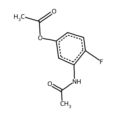 CC(=O)Nc1cc(OC(C)=O)ccc1F